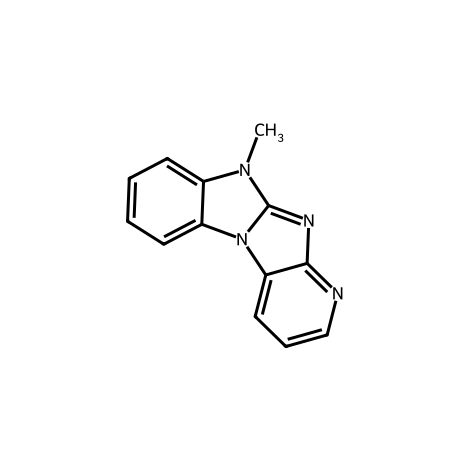 Cn1c2ccccc2n2c3cccnc3nc12